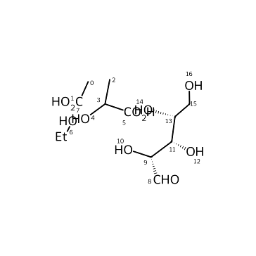 CC(=O)O.CC(O)C(=O)O.CCO.O=C[C@H](O)[C@@H](O)[C@H](O)CO